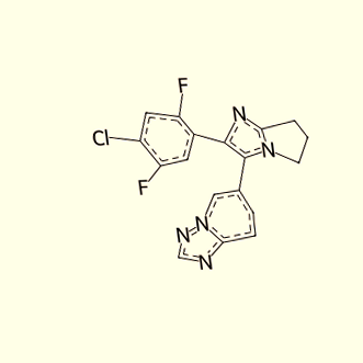 Fc1cc(-c2nc3n(c2-c2ccc4ncnn4c2)CCC3)c(F)cc1Cl